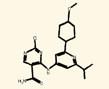 COC1CCC(c2cc(Nc3nc(Cl)ncc3C(N)=O)cc(C(C)C)n2)CC1